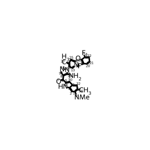 CNc1cc2[nH]c(C(=O)c3cnn(-c4cnc(Oc5c(F)cccc5F)cc4C)c3N)cc2cc1C